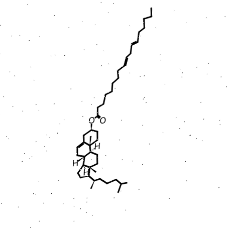 CCCCCC=CCC=CCCCCCCCC(=O)O[C@H]1CC[C@@]2(C)C(=CC[C@H]3[C@@H]4CC[C@H]([C@H](C)CCCC(C)C)[C@@]4(C)CC[C@@H]32)C1